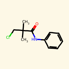 CC(C)(CCl)C(=O)Nc1ccccc1